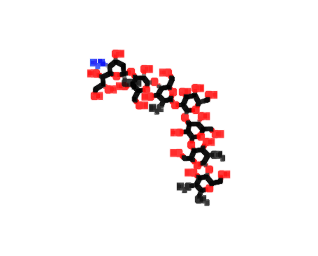 C[C@@H]1OC(CO)[C@@H](O[C@@H]2OC(CO)[C@@H](O[C@@H]3OC(CO)[C@@H](O)C(O[C@H]4O[C@H](CO)[C@@H](O)C(O)C4O[C@@H]4OC(CO)[C@@H](O[C@@H]5OC(CO)[C@H](O)C(O[C@]6(C(=O)O)C[C@@H](O)[C@@H](N)C([C@H](O)[C@H](O)CO)O6)[C@@H]5O)C(O)[C@@H]4C)C3O)C(O)[C@@H]2C)C(O)[C@@H]1C